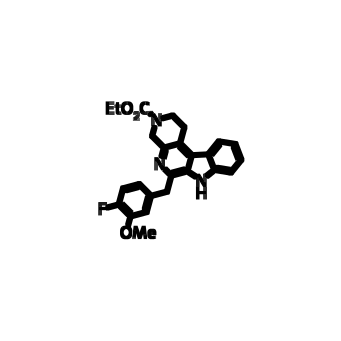 CCOC(=O)N1CCc2c(nc(Cc3ccc(F)c(OC)c3)c3[nH]c4ccccc4c23)C1